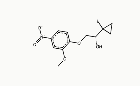 COc1cc([N+](=O)[O-])ccc1OC[C@@H](O)C1(I)CC1